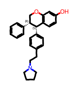 Oc1ccc2c(c1)OC[C@@H](c1ccccc1)[C@H]2c1ccc(CCN2CCCC2)cc1